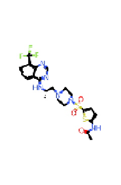 CC(=O)Nc1ccc(S(=O)(=O)N2CCN(C[C@H](C)Nc3ncnc4c(C(F)(F)F)cccc34)CC2)s1